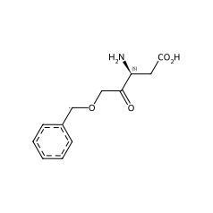 N[C@@H](CC(=O)O)C(=O)CO[CH]c1ccccc1